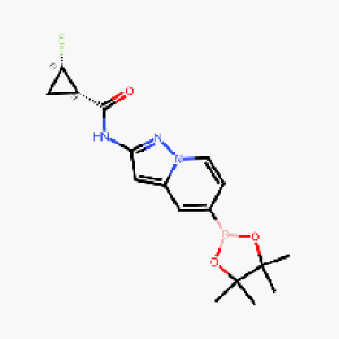 CC1(C)OB(c2ccn3nc(NC(=O)[C@@H]4C[C@@H]4F)cc3c2)OC1(C)C